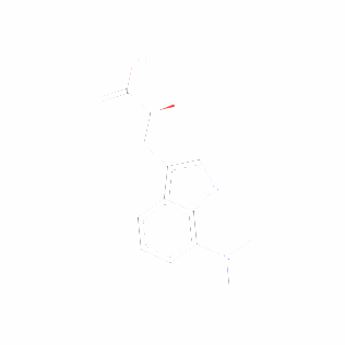 CN(C)c1cccc2c(C[C@H](O)C(=O)O)c[nH]c12